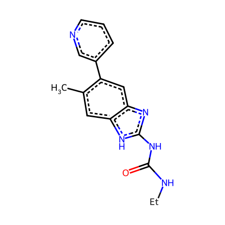 CCNC(=O)Nc1nc2cc(-c3cccnc3)c(C)cc2[nH]1